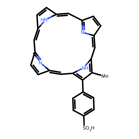 O=S(=O)(O)c1ccc(-c2[c]([Mn])c3cc4nc(cc5ccc(cc6nc(cc2[nH]3)C=C6)[nH]5)C=C4)cc1